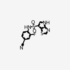 N#Cc1ccc(NS(=O)(=O)c2c[nH]c3ncsc23)c(F)c1